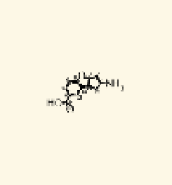 NC1=Cc2oc3ccc(C(=O)O)cc3c2C1